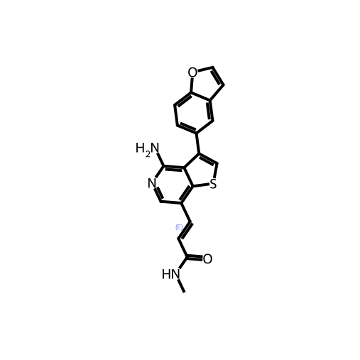 CNC(=O)/C=C/c1cnc(N)c2c(-c3ccc4occc4c3)csc12